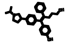 CC(C)N1CCC(c2ccc(/C(=C(/CCCO)c3ccccc3)c3ccc(O)cc3)cc2)C1